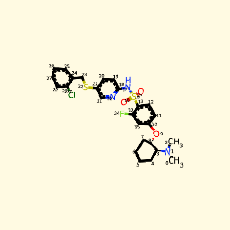 CN(C)[C@H]1CCCC[C@@H]1Oc1ccc(S(=O)(=O)Nc2ccc(SCc3ccccc3Cl)cn2)c(F)c1